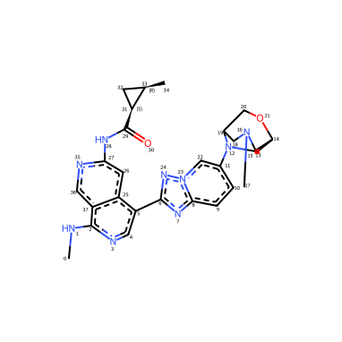 CNc1ncc(-c2nc3ccc(N4CC5CN(C)CC4CO5)cn3n2)c2cc(NC(=O)[C@H]3C[C@H]3C)ncc12